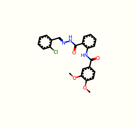 COc1ccc(C(=O)Nc2ccccc2C(=O)NN=Cc2ccccc2Cl)cc1OC